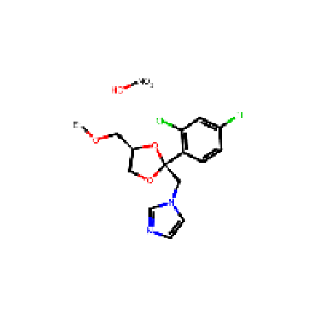 CCOC[C@@H]1CO[C@@](Cn2ccnc2)(c2ccc(Cl)cc2Cl)O1.O=[N+]([O-])O